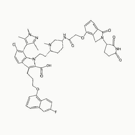 Cc1nn(C)c(C)c1-c1c(Cl)ccc2c(CCCOc3cccc4cc(F)ccc34)c(C(=O)O)n(CCC3CCC(NC(=O)COc4cccc5c4CN(C4CCC(=O)NC4=O)C5=O)CN3C)c12